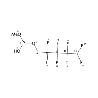 COP(O)OCC(F)(F)C(F)(F)C(F)(F)C(F)F